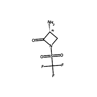 N[C@@H]1CN(S(=O)(=O)C(F)(F)F)C1=O